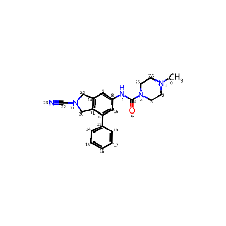 CN1CCN(C(=O)Nc2cc3c(c(-c4ccccc4)c2)CN(C#N)C3)CC1